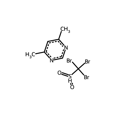 Cc1cc(C)ncn1.O=[SH](=O)C(Br)(Br)Br